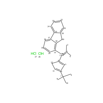 C[C](C)=[Zr]([C]1=CC(C(C)(C)C)=CC1)[c]1cccc2c1Cc1ccccc1-2.Cl.Cl